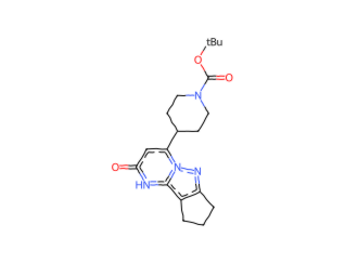 CC(C)(C)OC(=O)N1CCC(c2cc(=O)[nH]c3c4c(nn23)CCC4)CC1